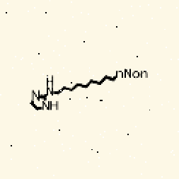 CCCCCCCCCCCCCCCCCCNC1=NCCN1